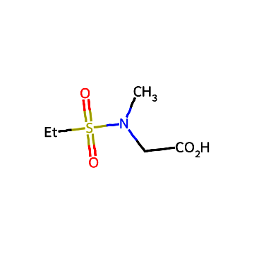 CCS(=O)(=O)N(C)CC(=O)O